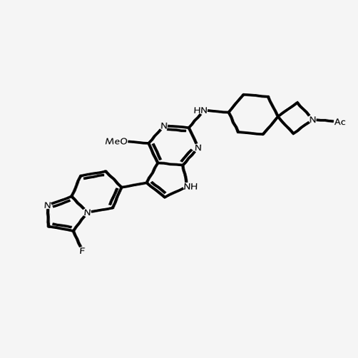 COc1nc(NC2CCC3(CC2)CN(C(C)=O)C3)nc2[nH]cc(-c3ccc4ncc(F)n4c3)c12